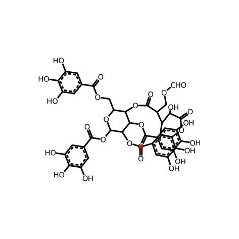 O=COCC1C(=O)OC2C(COC(=O)c3cc(O)c(O)c(O)c3)OC(OC(=O)c3cc(O)c(O)c(O)c3)C(OC(=O)c3cc(O)c(O)c4c3C1C(O)C(=O)O4)C2OC(=O)c1cc(O)c(O)c(O)c1